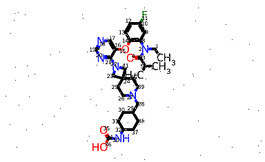 CCN(C(=O)C(C)C)c1cc(F)ccc1Oc1cncnc1N1CC2(CCN(CC3CCC(NC(=O)O)CC3)CC2)C1